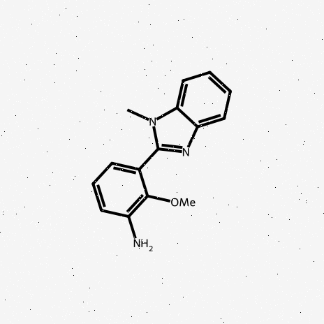 COc1c(N)cccc1-c1nc2ccccc2n1C